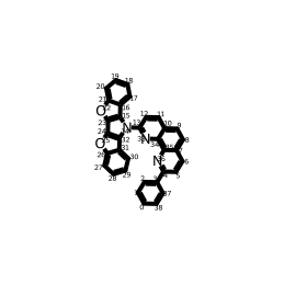 c1ccc(-c2ccc3ccc4ccc(-n5c6c7ccccc7oc6c6oc7ccccc7c65)nc4c3n2)cc1